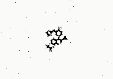 O=C(C1CC1)C(c1ccccc1F)N1CCC(S)/C(=C/c2nccs2)C1.O=C(O)C(F)(F)F